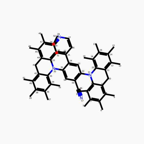 Cc1c(C)c(C)c2c(c1C)Cc1c(C)c(C)c(C)c(C)c1N2c1cc(-c2ccncc2)c(N2c3c(C)c(C)c(C)c(C)c3Cc3c(C)c(C)c(C)c(C)c32)cc1C#N